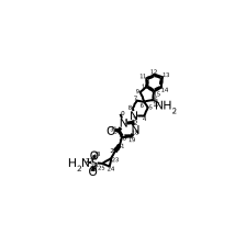 Cn1c(N2CCC3(CC2)Cc2ccccc2[C@H]3N)ncc(C#CC2CC2S(N)(=O)=O)c1=O